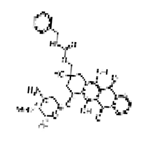 CO[C@@H]1[C@@H](N)C[C@H](O[C@H]2CC(O)(COC(=O)NCc3ccccc3)Cc3c(O)c4c(c(O)c32)C(=O)c2ccccc2C4=O)O[C@@H]1C